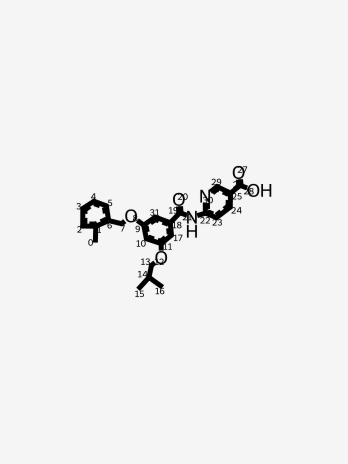 Cc1ccccc1COc1cc(OCC(C)C)cc(C(=O)Nc2ccc(C(=O)O)cn2)c1